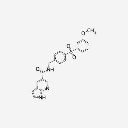 COc1cccc(S(=O)(=O)c2ccc(CNC(=O)c3cnc4[nH]ccc4c3)cc2)c1